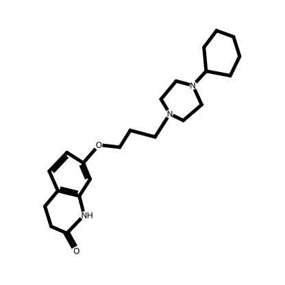 O=C1CCc2ccc(OCCCN3CCN(C4CCCCC4)CC3)cc2N1